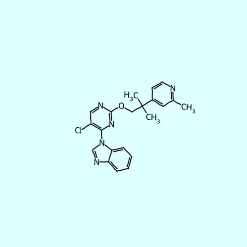 Cc1cc(C(C)(C)COc2ncc(Cl)c(-n3cnc4ccccc43)n2)ccn1